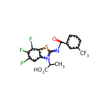 CC(C(=O)O)n1c(=NC(=O)c2cccc(C(F)(F)F)c2)sc2c(F)c(F)c(F)cc21